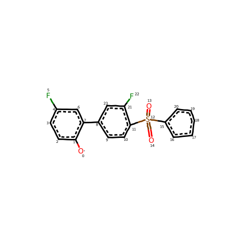 [O]c1ccc(F)cc1-c1ccc(S(=O)(=O)c2ccccc2)c(F)c1